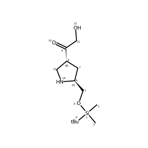 CC(C)(C)[Si](C)(C)OC[C@@H]1C[C@@H](C(=O)CO)CN1